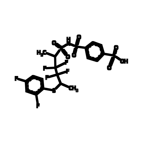 CC(Sc1ccc(F)cc1F)C(F)(F)C(F)(F)C(C)S(=O)(=O)NS(=O)(=O)c1ccc(S(=O)(=O)O)cc1